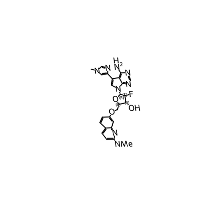 CNc1ccc2ccc(OC[C@H]3O[C@@H](n4cc(-c5cn(C)cn5)c5c(N)ncnc54)[C@@H](F)[C@@H]3O)cc2n1